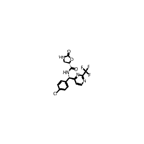 O=C1NC[C@@H](C(=O)N[C@@H](c2ccc(Cl)cc2)c2ccnc(C(F)(F)F)n2)O1